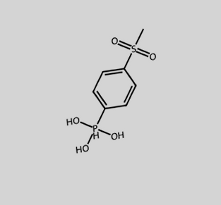 CS(=O)(=O)c1ccc([PH](O)(O)O)cc1